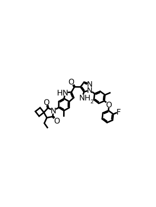 CCC1C(=O)N(c2cc3[nH]c(C(=O)c4cnn(-c5ccc(Oc6ccccc6F)c(C)c5)c4N)cc3cc2C)C(=O)C12CCC2